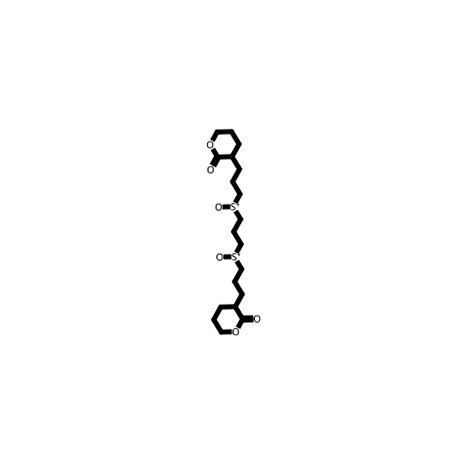 O=C1OCCCC1CCC[S+]([O-])CCC[S+]([O-])CCCC1CCCOC1=O